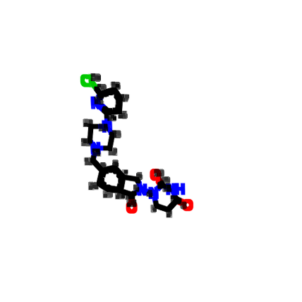 O=C1CCN(N2Cc3cc(CN4CCN(c5cccc(Cl)n5)CC4)ccc3C2=O)C(=O)N1